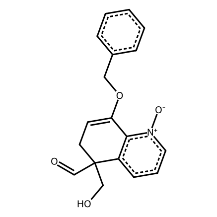 O=CC1(CO)CC=C(OCc2ccccc2)c2c1ccc[n+]2[O-]